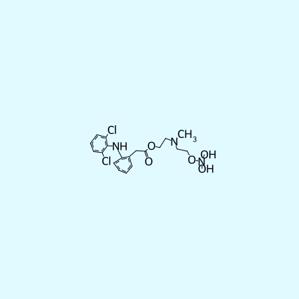 CN(CCOC(=O)Cc1ccccc1Nc1c(Cl)cccc1Cl)CCON(O)O